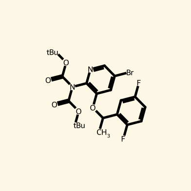 CC(Oc1cc(Br)cnc1N(C(=O)OC(C)(C)C)C(=O)OC(C)(C)C)c1cc(F)ccc1F